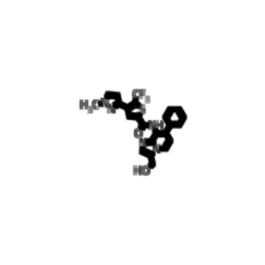 Cn1ccc(-c2cc(C(=O)Nc3c(-c4ccccc4)ccn4c(CO)cnc34)sc2C(F)(F)F)n1